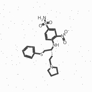 NS(=O)(=O)c1ccc(N[C@H](CCN2CCCC2)CSc2ccccc2)c([N+](=O)[O-])c1